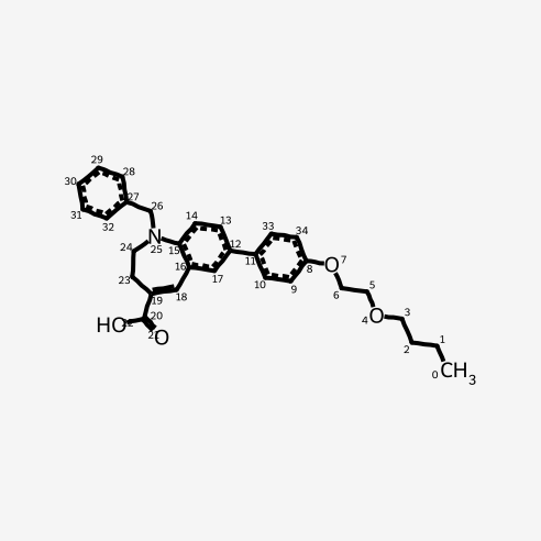 CCCCOCCOc1ccc(-c2ccc3c(c2)C=C(C(=O)O)CCN3Cc2ccccc2)cc1